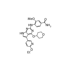 CCOc1ccc(-c2c[nH]c3nc(Nc4ccc(C(N)=O)cc4OC)nc(OC4CCOCC4)c23)cn1